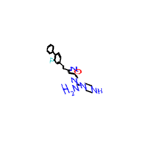 NC(=NCc1cc(CCc2ccc(-c3ccccc3)c(F)c2)no1)N1CCNCC1